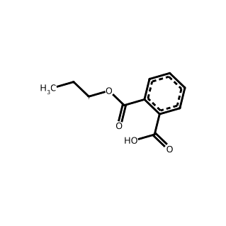 CC[CH]OC(=O)c1ccccc1C(=O)O